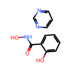 O=C(NO)c1ccccc1O.c1cncnc1